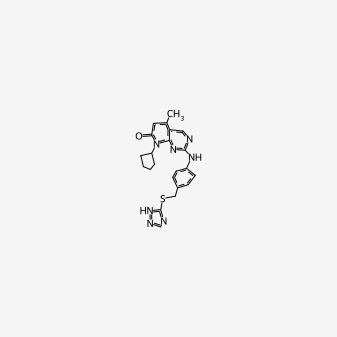 Cc1cc(=O)n(C2CCCC2)c2nc(Nc3ccc(CSc4ncn[nH]4)cc3)ncc12